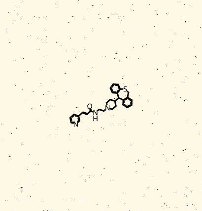 O=C(C=Cc1cccnc1)NCCN1CCC(C2c3ccccc3CSc3ccccc32)CC1